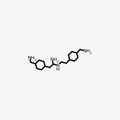 NCC1CCC(CCNC(N)CC2CCC(CN)CC2)CC1